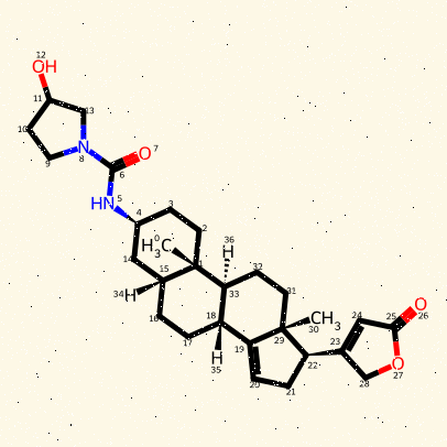 C[C@]12CC[C@H](NC(=O)N3CCC(O)C3)C[C@H]1CC[C@H]1C3=CC[C@H](C4=CC(=O)OC4)[C@@]3(C)CC[C@@H]12